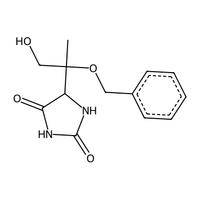 CC(CO)(OCc1ccccc1)C1NC(=O)NC1=O